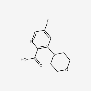 O=C(O)c1ncc(F)cc1N1CCOCC1